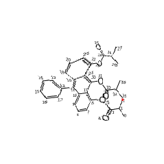 CC(C)C(=O)Oc1cccc2c(-c3ccccc3)c3cccc(OC(=O)C(C)C)c3c(OC(=O)C(C)C)c12